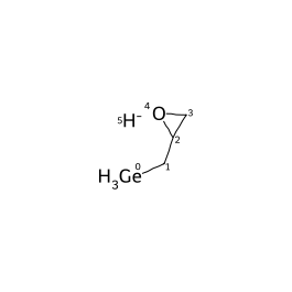 [GeH3][CH2]C1CO1.[H-]